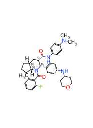 Cc1cccc(F)c1C(=O)N1[C@@H]2CCC[C@@H]2C[C@H](C(=O)Nc2ccc(N(C)C)cc2)[C@@H]1c1ccc(NC2CCOCC2)cc1